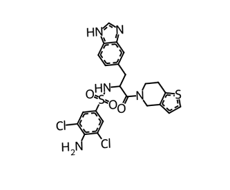 Nc1c(Cl)cc(S(=O)(=O)NC(Cc2ccc3[nH]cnc3c2)C(=O)N2CCc3sccc3C2)cc1Cl